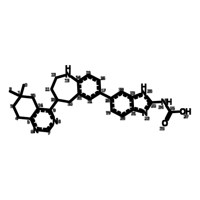 CC1(C)CCc2ncnc(C3CCNc4ccc(-c5ccc6nc(NC(=O)O)[nH]c6c5)cc4C3)c2C1